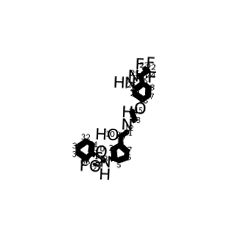 O=S(=O)(Nc1cccc([C@@H](O)CNCCOc2ccc3c(C(F)(F)F)n[nH]c3c2)c1)c1ccccc1F